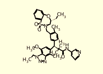 CC[C@@H]1CN(Cc2cc([C@H](c3cc(OC)c4c(nnn4CC)c3C)C(C)(C)C(=O)Nc3cccnc3)ccc2C)S(=O)(=O)c2ccccc2O1